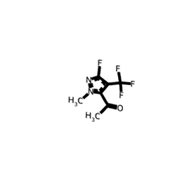 CC(=O)c1c(C(F)(F)F)c(F)nn1C